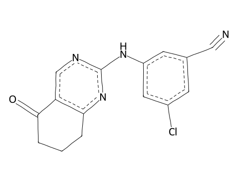 N#Cc1cc(Cl)cc(Nc2ncc3c(n2)CCCC3=O)c1